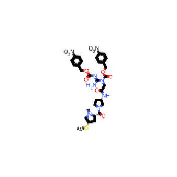 CC(=O)S[C@H]1C[C@@H](C(=O)N2CC[C@H](NC(=O)CN(C(=O)OCc3ccc([N+](=O)[O-])cc3)C(N)=NC(=O)OCc3ccc([N+](=O)[O-])cc3)C2)N(C)C1